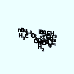 CCCCC(C)COCC(O)CC(C)(N)C(CC(C)(C)C(C)CC)c1ccccc1